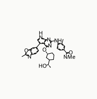 CNC(=O)c1ccc(Nc2nc(O[C@H]3CCCC([C@@H](C)O)C3)c3c(-c4ccc5nc(C)oc5c4)c[nH]c3n2)c(C)c1